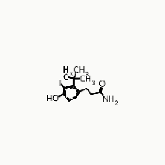 CC(C)(C)c1c(CCC(N)=O)ccc(O)c1I